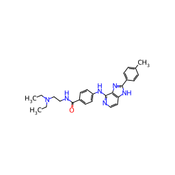 CCN(CC)CCNC(=O)c1ccc(Nc2nccc3[nH]c(-c4ccc(C)cc4)nc23)cc1